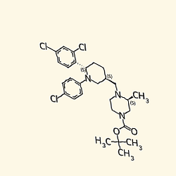 C[C@H]1CN(C(=O)OC(C)(C)C)CCN1C[C@@H]1CC[C@@H](c2ccc(Cl)cc2Cl)N(c2ccc(Cl)cc2)C1